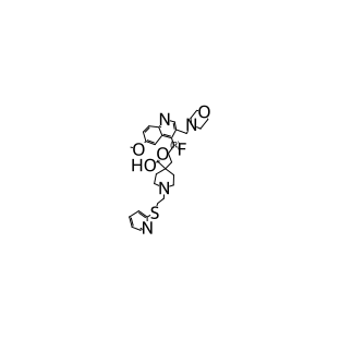 COc1ccc2ncc(CN3CCOCC3)c([C@H](F)CCC3(C(=O)O)CCN(CCSc4ccccn4)CC3)c2c1